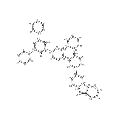 c1ccc(-c2cc(-c3ccccc3)nc(-c3ccc4c5cc(-c6ccc7oc8ccccc8c7c6)ccc5c5ccccc5c4c3)n2)cc1